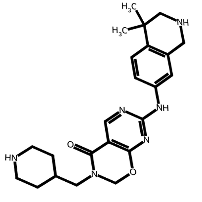 CC1(C)CNCc2cc(Nc3ncc4c(n3)OCN(CC3CCNCC3)C4=O)ccc21